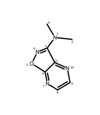 CN(C)c1noc2nccnc12